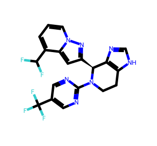 FC(F)c1cccn2nc([C@H]3c4nc[nH]c4CCN3c3ncc(C(F)(F)F)cn3)cc12